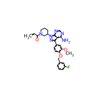 C=CC(=O)N1CCCC(n2nc(-c3ccc(OCc4cccc(F)c4)c(OC)c3)c3c(N)ncnc32)C1